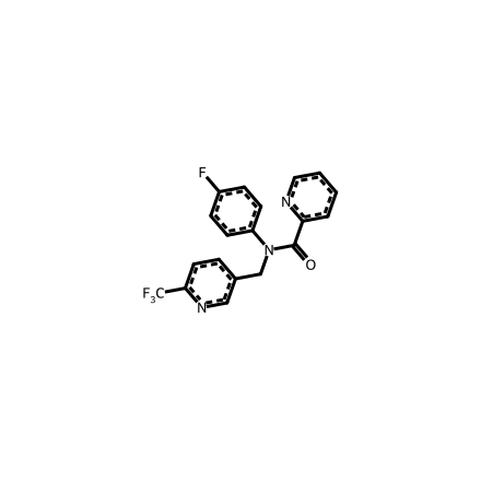 O=C(c1ccccn1)N(Cc1ccc(C(F)(F)F)nc1)c1ccc(F)cc1